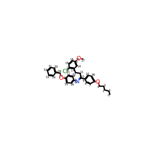 CCCCCOc1ccc(C(CCc2cc(OC)ccc2Cl)=Nc2ccc(OCc3ccccc3)cc2)cc1